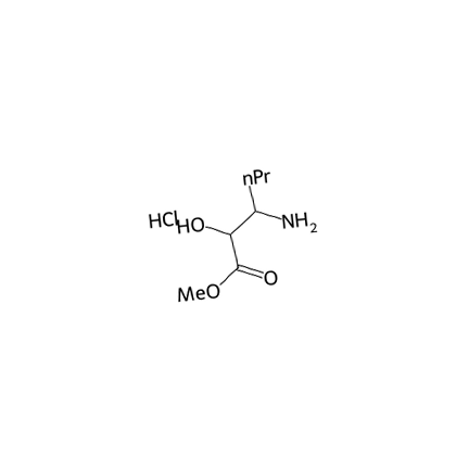 CCCC(N)C(O)C(=O)OC.Cl